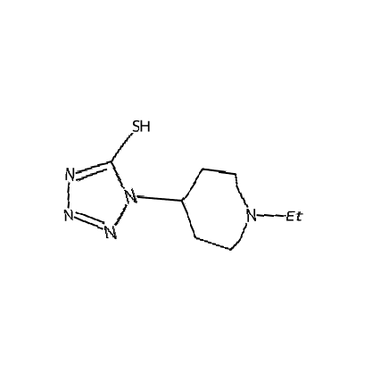 CCN1CCC(n2nnnc2S)CC1